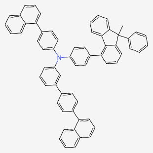 CC1(c2ccccc2)c2ccccc2-c2c(-c3ccc(N(c4ccc(-c5cccc6ccccc56)cc4)c4cccc(-c5ccc(-c6cccc7ccccc67)cc5)c4)cc3)cccc21